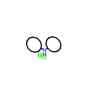 C1CCCCCC(NC2CCCCCCCCCCC2)CCCCC1.Cl.Cl